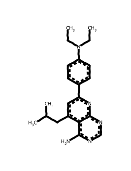 CCN(CC)c1ccc(-c2cc(CC(C)C)c3c(N)ncnc3n2)cc1